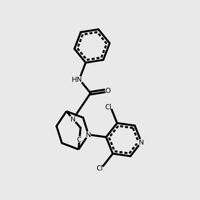 O=C(Nc1ccccc1)N1CCC2CCC1CN2c1c(Cl)cncc1Cl